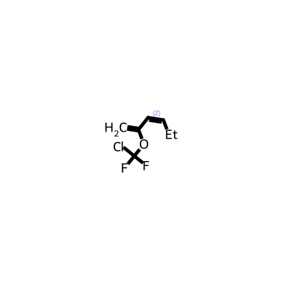 C=C(/C=C\CC)OC(F)(F)Cl